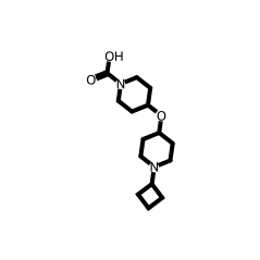 O=C(O)N1CCC(OC2CCN(C3CCC3)CC2)CC1